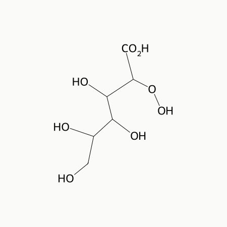 O=C(O)C(OO)C(O)C(O)C(O)CO